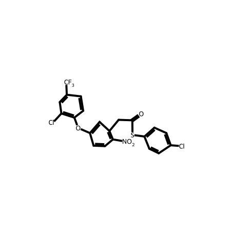 O=C(Cc1cc(Oc2ccc(C(F)(F)F)cc2Cl)ccc1[N+](=O)[O-])Sc1ccc(Cl)cc1